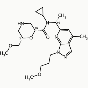 COCCCn1ncc2c(C)cc([C@@H](C)N(C(=O)[C@H]3CNC[C@@H](COC)O3)C3CC3)nc21